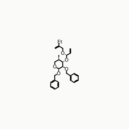 C=C[C@@H](OCC(=C)CC)O[C@@H]1[C@@H](OCc2ccccc2)[C@@H](OCc2ccccc2)OC[C@H]1C